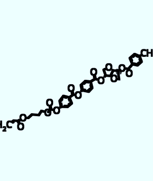 C=CC(=O)OCCCCOC(=O)Oc1ccc(C(=O)Oc2ccc(C(=O)OC3COC4C3OC[C@@H]4OC(=O)c3ccc(C)cc3)cc2)cc1